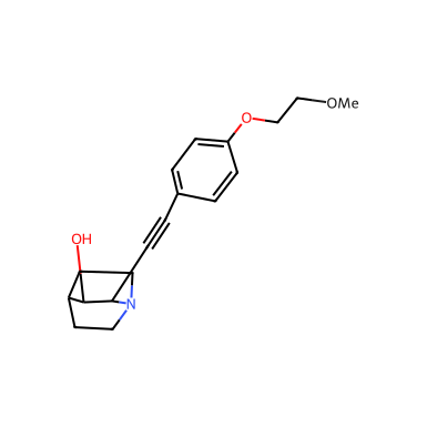 COCCOc1ccc(C#CC2C(O)C3CCN2CC3)cc1